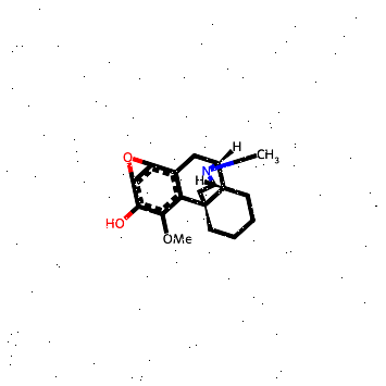 COc1c(O)c2c(c3c1[C@@]14CCCC[C@H]1[C@@H](C3)N(C)CC4)O2